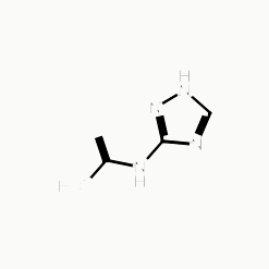 CC(=O)Nc1nc[nH]n1